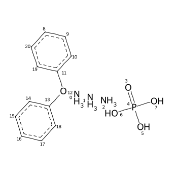 N.N.N.O=P(O)(O)O.c1ccc(Oc2ccccc2)cc1